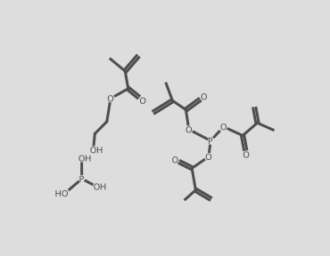 C=C(C)C(=O)OCCO.C=C(C)C(=O)OP(OC(=O)C(=C)C)OC(=O)C(=C)C.OP(O)O